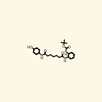 CC(C)(C)OC(=O)Nc1ccccc1NC(=O)CCCCCC(=O)Nc1ccc(O)cc1